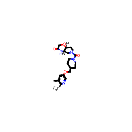 Cc1cc(OCC2CCN(C(=O)N3CC[C@@H]4OCC(=O)N[C@@H]4C3)CC2)cnc1C(F)(F)F